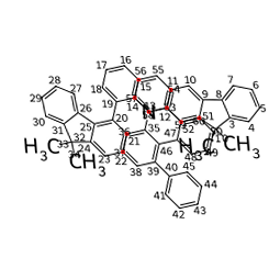 CC1(C)c2ccccc2-c2ccc(N(c3ccccc3-c3cccc4c3-c3ccccc3C4(C)C)c3cccc(-c4ccccc4)c3-c3ccccc3-c3ccccc3)cc21